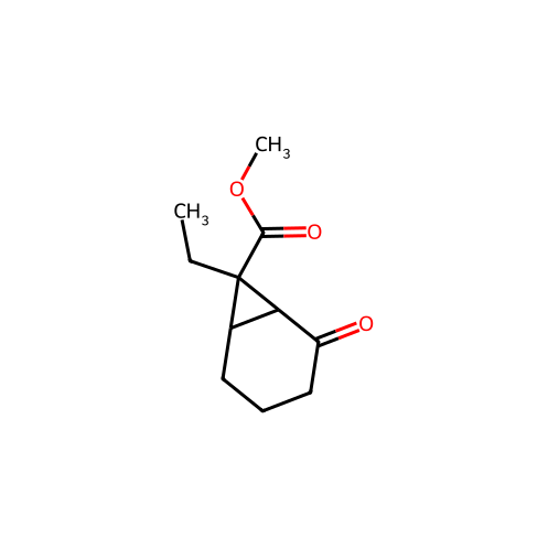 CCC1(C(=O)OC)C2CCCC(=O)C21